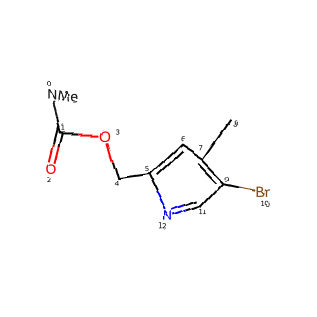 CNC(=O)OCc1cc(C)c(Br)cn1